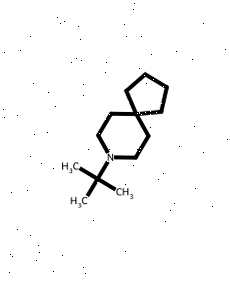 CC(C)(C)N1CCC2(CCCC2)CC1